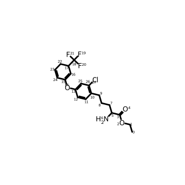 CCOC(=O)C(N)CCCc1ccc(OC2=CC(C(F)(F)F)CC=C2)cc1Cl